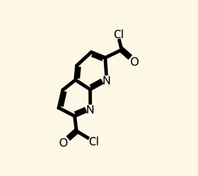 O=C(Cl)c1ccc2ccc(C(=O)Cl)nc2n1